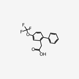 O=C(O)Cc1cc(OC(F)(F)F)ccc1-c1ccccc1